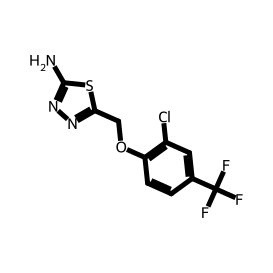 Nc1nnc(COc2ccc(C(F)(F)F)cc2Cl)s1